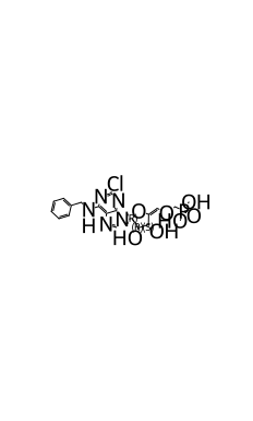 O=P(O)(O)COC=C1O[C@@H](n2cnc3c(NCc4ccccc4)nc(Cl)nc32)[C@H](O)[C@@H]1O